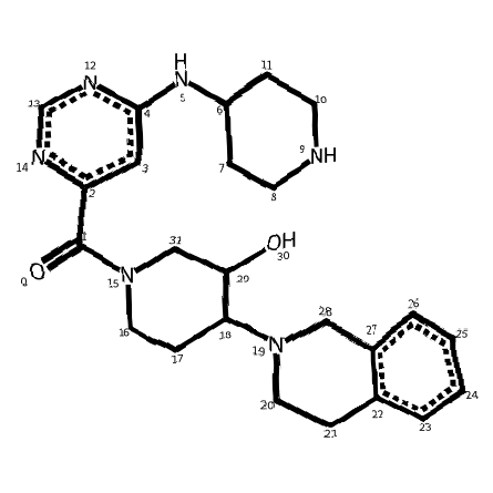 O=C(c1cc(NC2CCNCC2)ncn1)N1CCC(N2CCc3ccccc3C2)C(O)C1